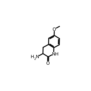 COc1ccc2c(c1)CC(N)C(=O)N2